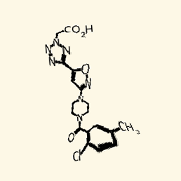 Cc1ccc(Cl)c(C(=O)N2CCN(c3cc(-c4nnn(CC(=O)O)n4)on3)CC2)c1